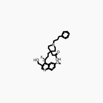 COc1ccc2ncc(CO)c([C@@H](F)CCC3(CC(=O)O)CCN(CCCc4ccccc4)CC3)c2c1